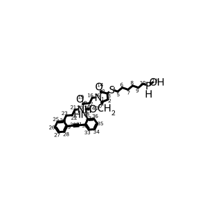 C=C1CC(SCCCCCCPO)C(=O)N1CCC(=O)NCCCc1ccccc1C#Cc1ccccc1NC=O